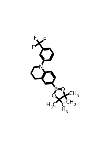 CC1(C)OB(c2ccc3c(c2)CCCN3c2cccc(C(F)(F)F)c2)OC1(C)C